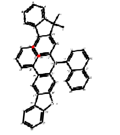 CC1(C)c2ccccc2-c2ccc(N(c3cc4sc5ccccc5c4cc3-c3ccccc3)c3cccc4ccccc34)cc21